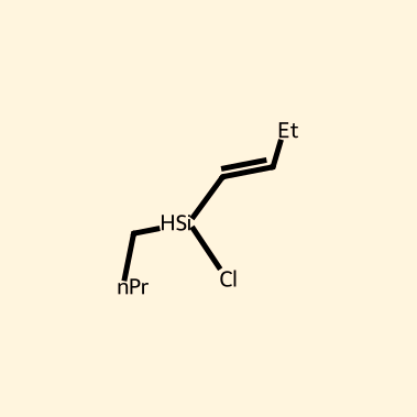 CCC=C[SiH](Cl)CCCC